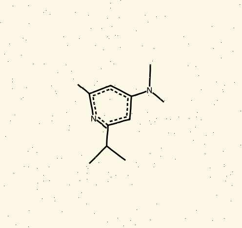 Cc1cc(N(C)C)cc(C(C)C)n1